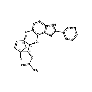 NC(=O)O[C@@H]1[C@H](Nc2c(Cl)cnc3[nH]c(-c4cccnc4)nc23)[C@H]2C=C[C@@H]1C2